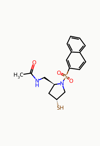 CC(=O)NC[C@@H]1C[C@@H](S)CN1S(=O)(=O)c1ccc2ccccc2c1